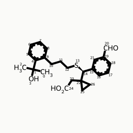 CC(C)(O)c1ccccc1CCCS[C@@H](c1cccc(C=O)c1)C1(CC(=O)O)CC1